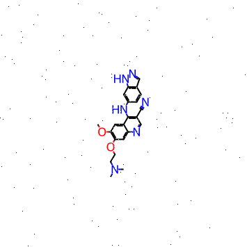 COc1cc2c(Nc3ccc4cn[nH]c4c3)c(C#N)cnc2cc1OCCN(C)C